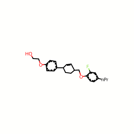 CCCc1ccc(OCC2C=CC(c3ccc(OCCO)cc3)CC2)c(F)c1